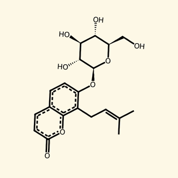 CC(C)=CCc1c(O[C@@H]2O[C@H](CO)[C@@H](O)[C@H](O)[C@H]2O)ccc2ccc(=O)oc12